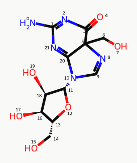 NC1=NC(=O)C2(CO)N=CN([C@@H]3O[C@H](CO)[C@@H](O)[C@H]3O)C2=N1